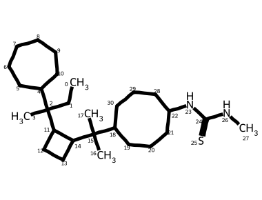 CCC(C)(C1CCCCCC1)C1CCC1C(C)(C)C1CCCC(NC(=S)NC)CCC1